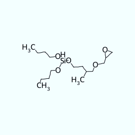 CCCCO[SiH](OCCCC)OCCC(C)COCC1CO1